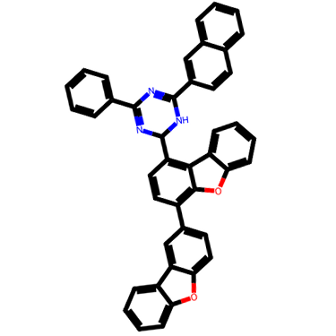 c1ccc(C2=NC(c3ccc(-c4ccc5oc6ccccc6c5c4)c4oc5ccccc5c34)NC(c3ccc4ccccc4c3)=N2)cc1